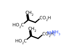 C=C(CC(=O)O)C(=O)O.C=C(CC(=O)O)C(=O)O.N.N